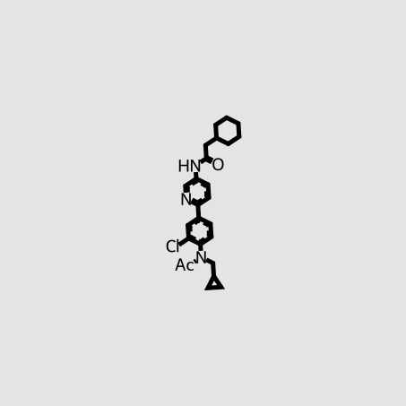 CC(=O)N(CC1CC1)c1ccc(-c2ccc(NC(=O)CC3CCCCC3)cn2)cc1Cl